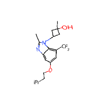 Cc1nc2cc(OCCC(C)C)cc(C(F)(F)F)c2n1C1CC(C)(O)C1